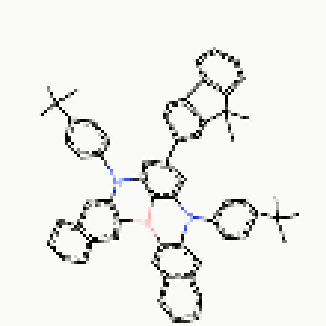 CC(C)(C)c1ccc(N2c3cc4ccccc4cc3B3c4cc5ccccc5cc4N(c4ccc(C(C)(C)C)cc4)c4cc(-c5ccc6c(c5)C(C)(C)c5ccccc5-6)cc2c43)cc1